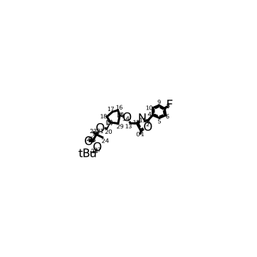 Cc1oc(-c2ccc(F)cc2)nc1CO[C@@H]1CCC[C@H](COC(C)(C)C(=O)OC(C)(C)C)C1